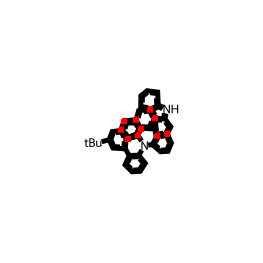 CC(C)(C)c1cc(-c2ccccc2N(c2ccccc2)c2ccccc2-c2cccc3[nH]c4ccccc4c23)c2cc3ccccc3cc2c1